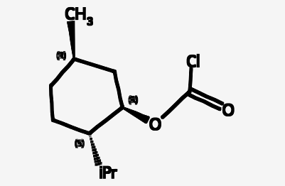 CC(C)[C@@H]1CC[C@@H](C)C[C@H]1OC(=O)Cl